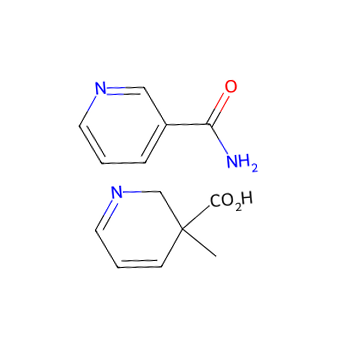 CC1(C(=O)O)C=CC=NC1.NC(=O)c1cccnc1